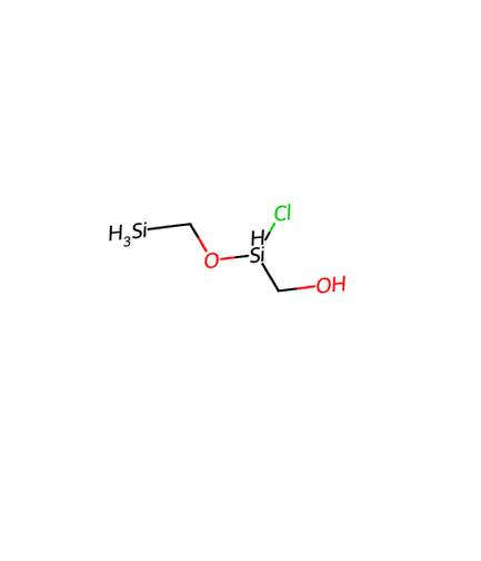 OC[SiH](Cl)OC[SiH3]